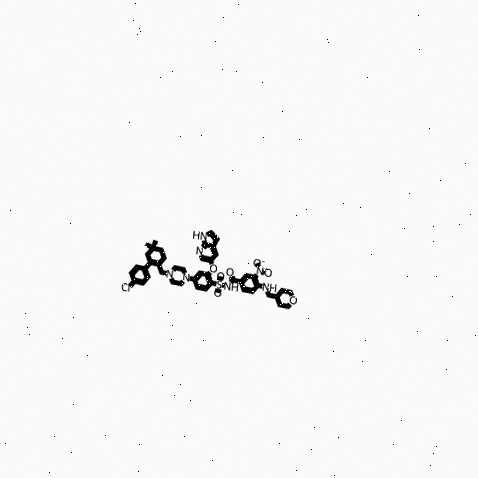 CC1(C)CCC(CN2CCN(c3ccc(S(=O)(=O)NC(=O)c4ccc(NCC5CCOCC5)c([N+](=O)[O-])c4)c(Oc4cnc5[nH]ccc5c4)c3)CC2)=C(c2ccc(Cl)cc2)C1